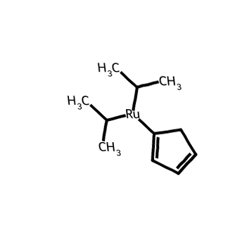 C[CH](C)[Ru]([C]1=CC=CC1)[CH](C)C